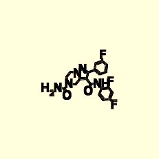 NC(=O)N1CCn2nc(-c3cccc(F)c3)c(C(=O)Nc3ccc(F)cc3F)c2C1